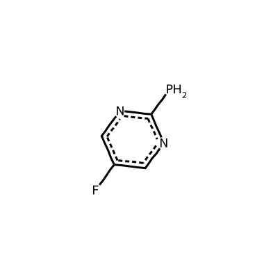 Fc1cnc(P)nc1